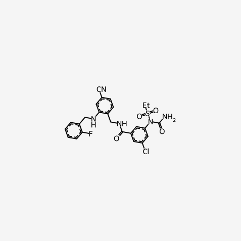 CCS(=O)(=O)N(C(N)=O)c1cc(Cl)cc(C(=O)NCc2ccc(C#N)cc2NCc2ccccc2F)c1